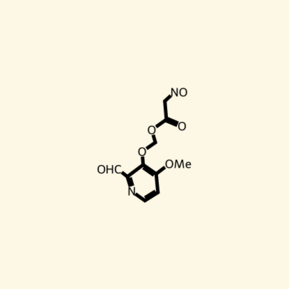 COc1ccnc(C=O)c1OCOC(=O)CN=O